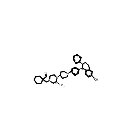 C[C@H]1CN(CC2(C=O)CCCCC2)CCN1C1CCN(c2ccc([C@@H]3c4ccc(O)cc4CC[C@@H]3c3ccccc3)cc2)CC1